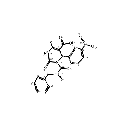 CC1=C(C(=O)O)C(c2cccc([N+](=O)[O-])c2)N(C(=O)N(C)Cc2ccccc2)C(=O)N1